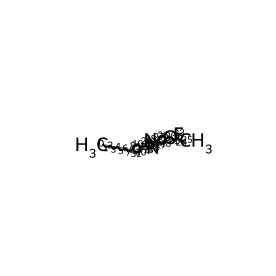 CCCCCCCCc1ccc(-c2cnc(-c3ccc(OCC(F)CC)cc3)nc2)cc1